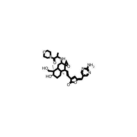 CC(NC1CC2[C@](C)(CC[C@@H](O)[C@@]2(C)CO)C(/C=C/C2=CC(=C\c3cnc(N)nc3)/OC2=O)C12CO2)C(=O)N1CCOCC1